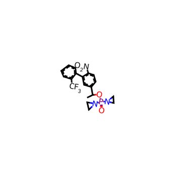 CC(OP(=O)(N1CC1)N1CC1)c1ccc([N+](=O)[O-])c(-c2ccccc2C(F)(F)F)c1